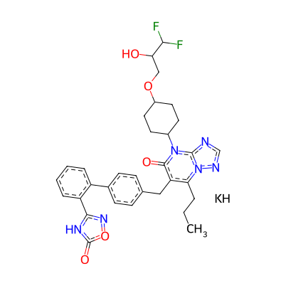 CCCc1c(Cc2ccc(-c3ccccc3-c3noc(=O)[nH]3)cc2)c(=O)n(C2CCC(OCC(O)C(F)F)CC2)c2ncnn12.[KH]